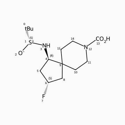 CC(C)(C)[S@@+]([O-])N[C@@H]1C[C@@H](F)CC12CCN(C(=O)O)CC2